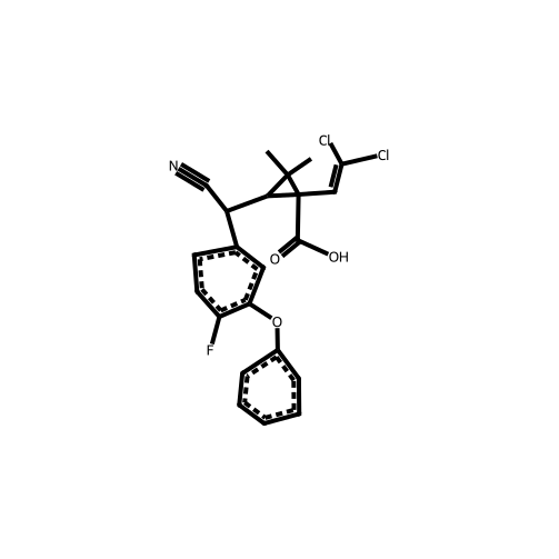 CC1(C)C(C(C#N)c2ccc(F)c(Oc3ccccc3)c2)C1(C=C(Cl)Cl)C(=O)O